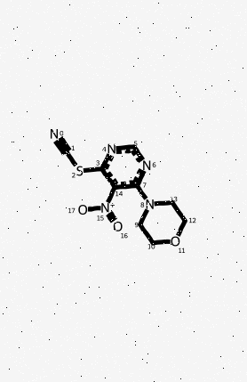 N#CSc1ncnc(N2CCOCC2)c1[N+](=O)[O-]